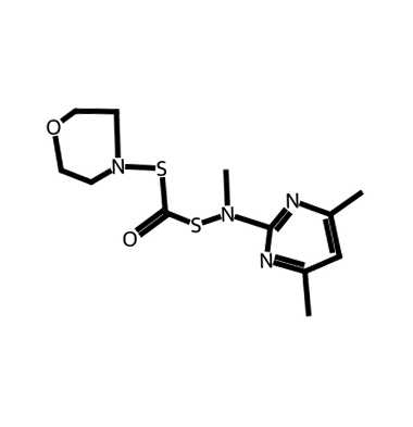 Cc1cc(C)nc(N(C)SC(=O)SN2CCOCC2)n1